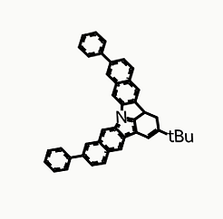 CC(C)(C)C1=Cc2c3n(c4cc5cc(-c6ccccc6)ccc5cc24)-c2cc4cc(-c5ccccc5)ccc4cc2C3C1